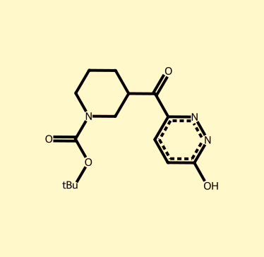 CC(C)(C)OC(=O)N1CCCC(C(=O)c2ccc(O)nn2)C1